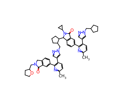 Cc1ccc(-c2cnn(CC3CCCC3C3c4ccc(-c5nc(C)ccc5-c5cnn(CC6CCCC6)c5)cc4C(=O)N3C3CC3)c2)c(-c2ccc3c(c2)C(=O)N(CC2CCCO2)C3)n1